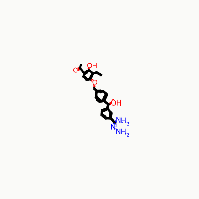 CCc1c(OCc2ccc(C(O)c3cccc(/C(N)=N/N)c3)cc2)ccc(C(C)=O)c1O